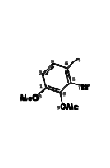 COc1ccc(C)c(Br)c1OC